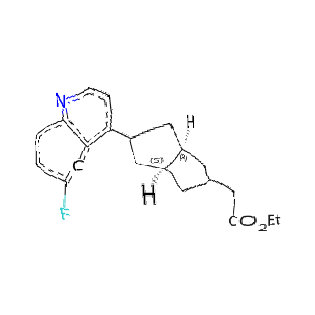 CCOC(=O)CC1C[C@@H]2CC(c3ccnc4ccc(F)cc34)C[C@@H]2C1